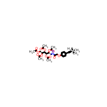 CC(=O)OC[C@H](OC(C)=O)[C@H](OC(C)=O)[C@@H](OC(C)=O)[C@@H](CNC(=O)COc1ccc(C#C[Si](C)(C)C)cc1)OC(C)=O